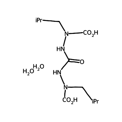 CC(C)CN(NC(=O)NN(CC(C)C)C(=O)O)C(=O)O.O.O